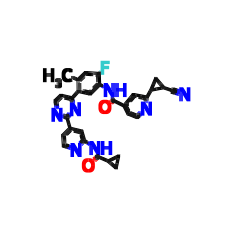 Cc1cc(F)c(NC(=O)c2ccnc(C3CC3C#N)c2)cc1-c1ccnc(-c2ccnc(NC(=O)C3CC3)c2)n1